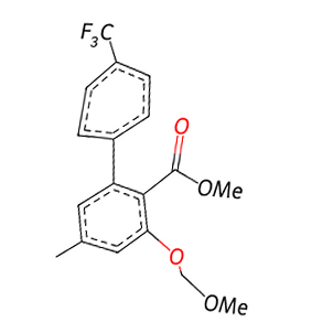 COCOc1cc(C)cc(-c2ccc(C(F)(F)F)cc2)c1C(=O)OC